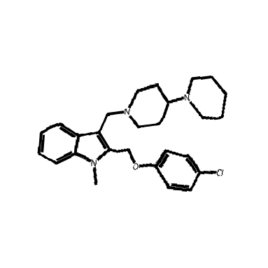 Cn1c(COc2ccc(Cl)cc2)c(CN2CCC(N3CCCCC3)CC2)c2ccccc21